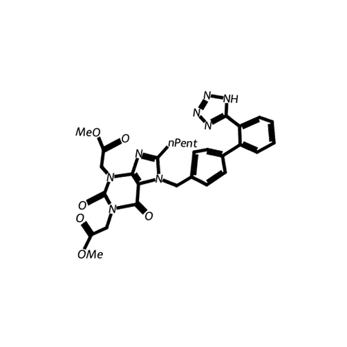 CCCCCc1nc2c(c(=O)n(CC(=O)OC)c(=O)n2CC(=O)OC)n1Cc1ccc(-c2ccccc2-c2nnn[nH]2)cc1